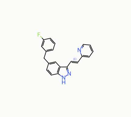 Fc1cccc(Cc2ccc3[nH]nc(/C=C/c4ccccn4)c3c2)c1